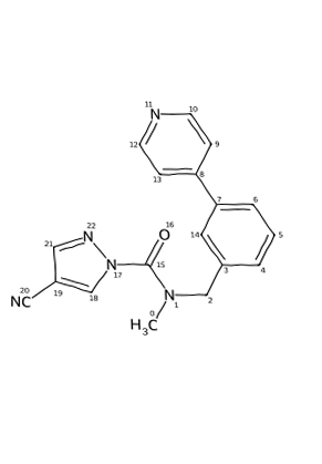 CN(Cc1cccc(-c2ccncc2)c1)C(=O)n1cc(C#N)cn1